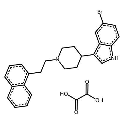 Brc1ccc2[nH]cc(C3CCN(CCc4cccc5ccccc45)CC3)c2c1.O=C(O)C(=O)O